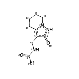 CCC(=O)NCc1c2n([nH]c1=O)CCCC2